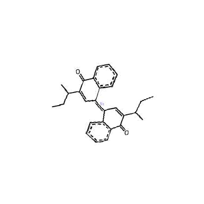 CCC(C)C1=C/C(=C2/C=C(C(C)CC)C(=O)c3ccccc32)c2ccccc2C1=O